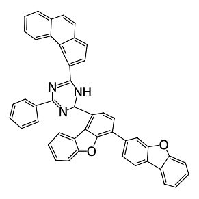 c1ccc(C2=NC(c3ccc(-c4ccc5c(c4)oc4ccccc45)c4oc5ccccc5c34)NC(c3ccc4ccc5ccccc5c4c3)=N2)cc1